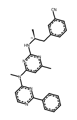 Cc1cc(N(C)c2ccnc(-c3ccccc3)n2)nc(N[C@@H](C)Cc2cccc(C#N)c2)n1